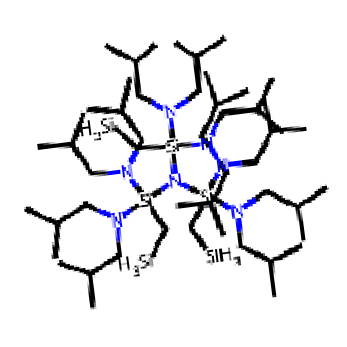 CC(C)CN(CC(C)C)[Si](C[SiH3])(N(CC(C)C)CC(C)C)N([Si](C[SiH3])(N(CC(C)C)CC(C)C)N(CC(C)C)CC(C)C)[Si](C[SiH3])(N(CC(C)C)CC(C)C)N(CC(C)C)CC(C)C